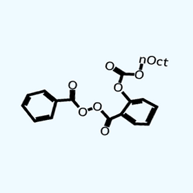 CCCCCCCCOC(=O)Oc1ccccc1C(=O)OOC(=O)c1ccccc1